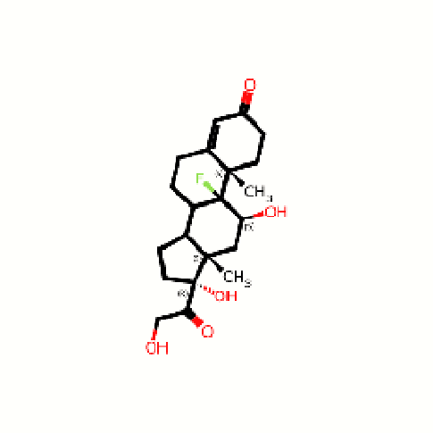 C[C@]12CCC(=O)C=C1CCC1C3CC[C@](O)(C(=O)CO)[C@@]3(C)C[C@H](O)C12F